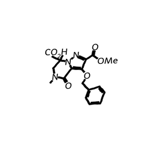 COC(=O)c1nn2c(c1OCc1ccccc1)C(=O)N(C)CC2(C)C(=O)O